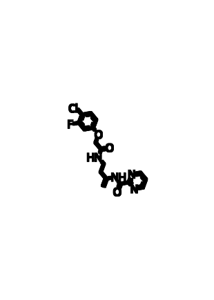 C=C(CCNC(=O)COc1ccc(Cl)c(F)c1)NC(=O)c1ncccn1